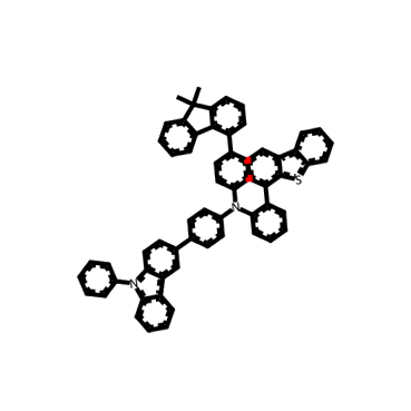 CC1(C)c2ccccc2-c2c(-c3ccc(N(c4ccc(-c5ccc6c(c5)c5ccccc5n6-c5ccccc5)cc4)c4ccccc4-c4cccc5c4sc4ccccc45)cc3)cccc21